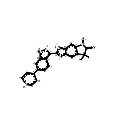 CCN1C(=O)C(C)(C)c2cc3nc(-c4n[nH]c5cc(-c6ccncc6)ccc45)[nH]c3cc21